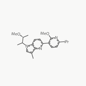 COc1nc(C(C)C)ccc1-c1ccc2c(n1)c(C)cn2C(C)[C@H](C)OC